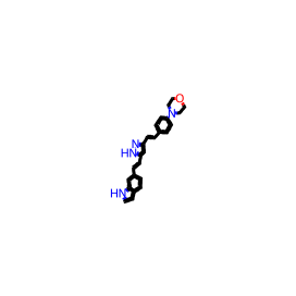 C(=Cc1cc(C=Cc2ccc3cc[nH]c3c2)[nH]n1)c1ccc(N2CCOCC2)cc1